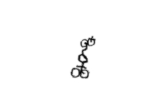 COC(=O)C(C)(C)c1ccc(CCC(=O)OC(C)(C)C)cc1